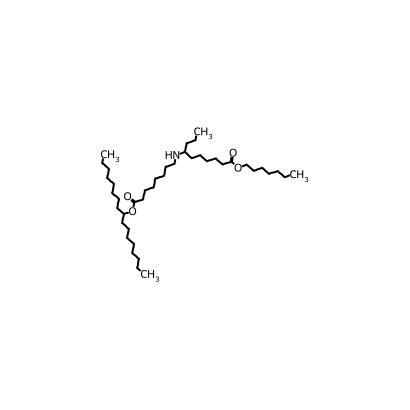 CCCCCCCCC(CCCCCCCC)OC(=O)CCCCCCCNC(CCC)CCCCCC(=O)OCCCCCCC